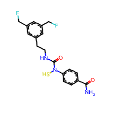 NC(=O)c1ccc(N(S)C(=O)NCCc2cc(CF)cc(CF)c2)cc1